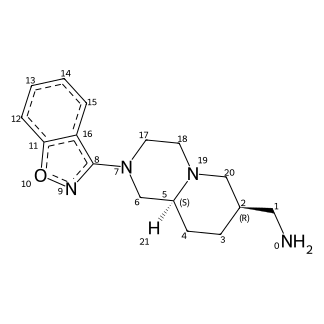 NC[C@H]1CC[C@H]2CN(c3noc4ccccc34)CCN2C1